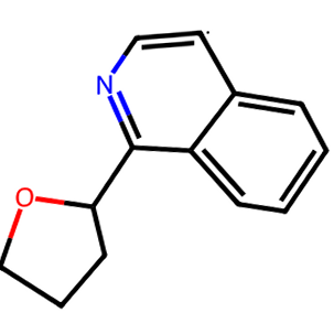 [c]1cnc(C2CCCO2)c2ccccc12